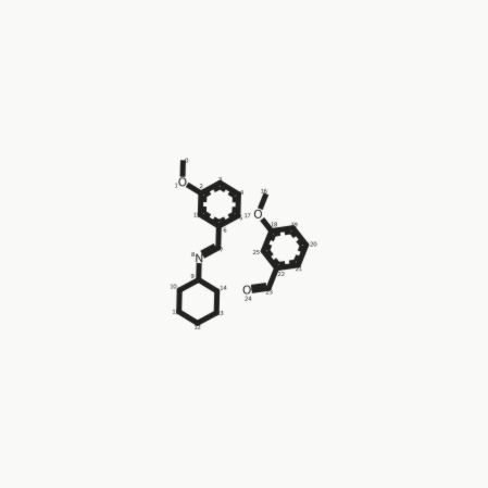 COc1cccc(C=NC2CCCCC2)c1.COc1cccc(C=O)c1